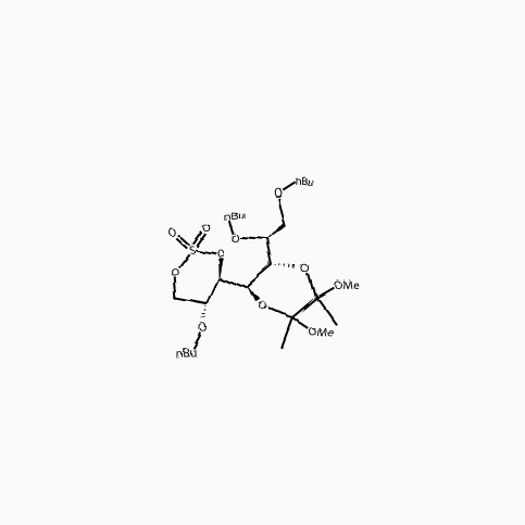 CCCCOC[C@H](OCCCC)[C@@H]1OC(C)(OC)C(C)(OC)O[C@H]1[C@@H]1OS(=O)(=O)OC[C@H]1OCCCC